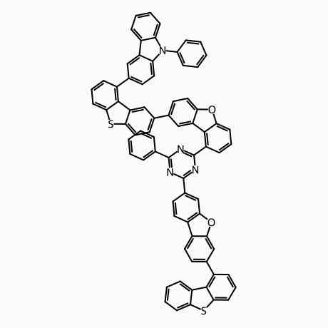 c1ccc(-c2nc(-c3ccc4c(c3)oc3cc(-c5cccc6sc7ccccc7c56)ccc34)nc(-c3cccc4oc5ccc(-c6ccc7sc8cccc(-c9ccc%10c(c9)c9ccccc9n%10-c9ccccc9)c8c7c6)cc5c34)n2)cc1